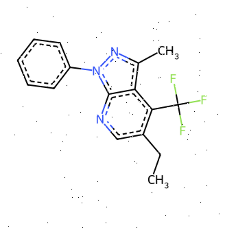 CCc1cnc2c(c(C)nn2-c2ccccc2)c1C(F)(F)F